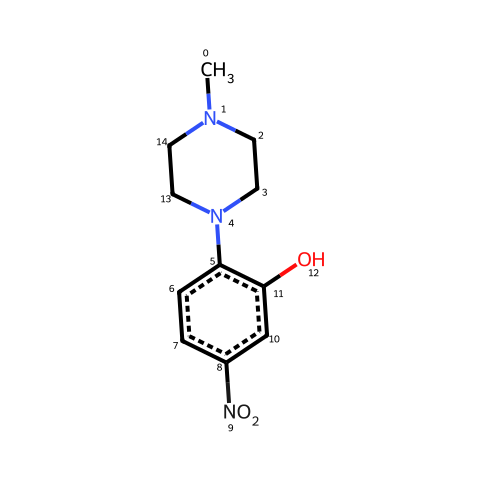 CN1CCN(c2ccc([N+](=O)[O-])cc2O)CC1